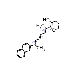 C\C(=C/C=C/C=C(\C)[C@@H]1OCCC[C@H]1O)c1ccc2ccccc2c1